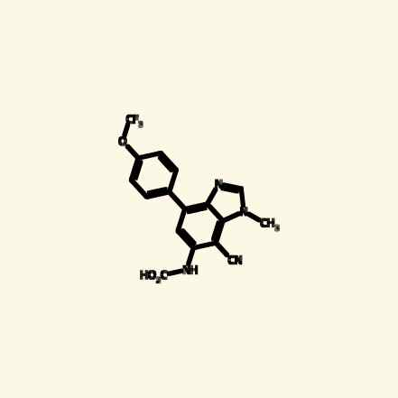 Cn1cnc2c(-c3ccc(OC(F)(F)F)cc3)cc(NC(=O)O)c(C#N)c21